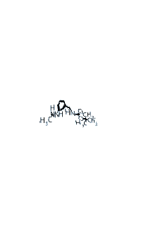 CNNc1cccc(CNC(=O)OC(C)(C)C)c1